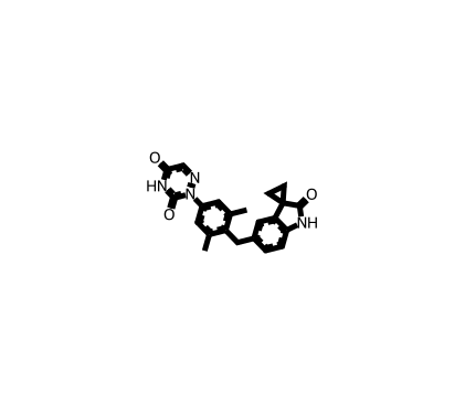 Cc1cc(-n2ncc(=O)[nH]c2=O)cc(C)c1Cc1ccc2c(c1)C1(CC1)C(=O)N2